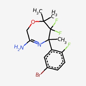 CC1(C)OCC(N)=NC(C)(c2cc(Br)ccc2F)C1(F)F